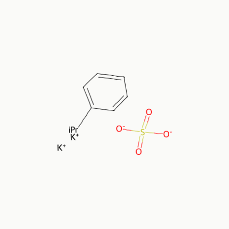 CC(C)c1ccccc1.O=S(=O)([O-])[O-].[K+].[K+]